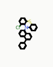 Clc1cccc2c1N(c1cccc3c(-c4ccccc4)cccc13)c1ccccc1S2